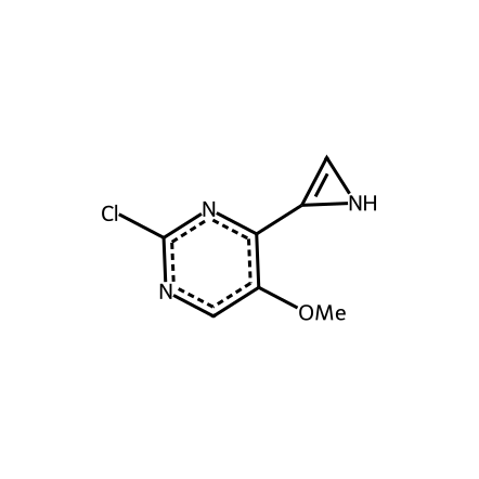 COc1cnc(Cl)nc1C1=CN1